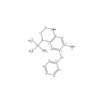 CC(C)(C)C1CCNc2cc(O)c(Cc3ccccc3)cc21